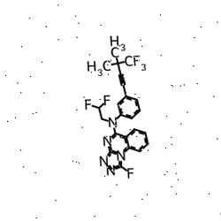 CC(C)(C#Cc1cccc(N(CC(F)F)c2nc3nnc(F)n3c3ccccc23)c1)C(F)(F)F